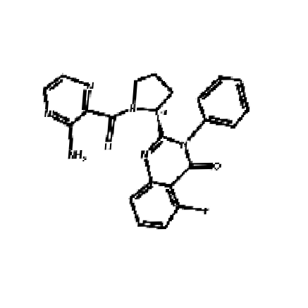 Nc1nccnc1C(=O)N1CCC[C@H]1c1nc2cccc(F)c2c(=O)n1-c1ccccc1